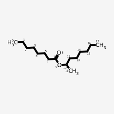 CCCCCCCC(=O)OC(C)CCCCCC